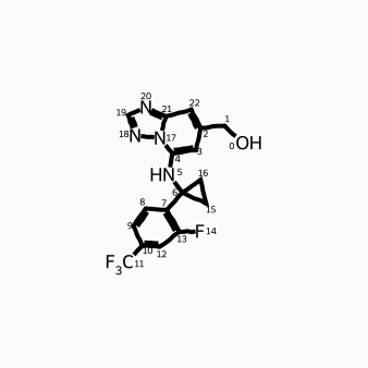 OCc1cc(NC2(c3ccc(C(F)(F)F)cc3F)CC2)n2ncnc2c1